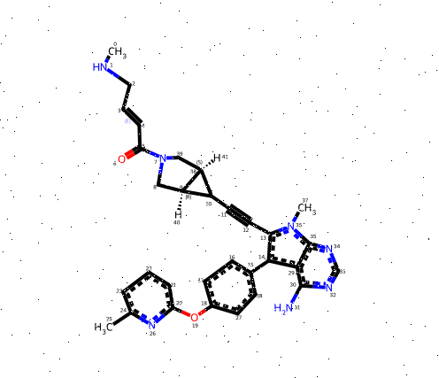 CNC/C=C/C(=O)N1C[C@@H]2C(C#Cc3c(-c4ccc(Oc5cccc(C)n5)cc4)c4c(N)ncnc4n3C)[C@@H]2C1